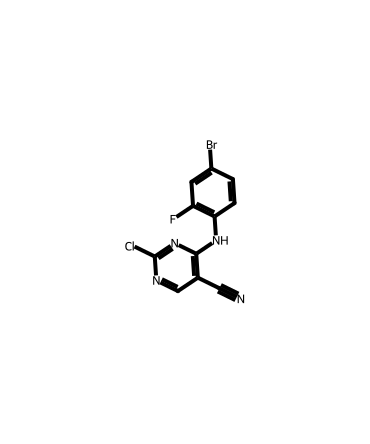 N#Cc1cnc(Cl)nc1Nc1ccc(Br)cc1F